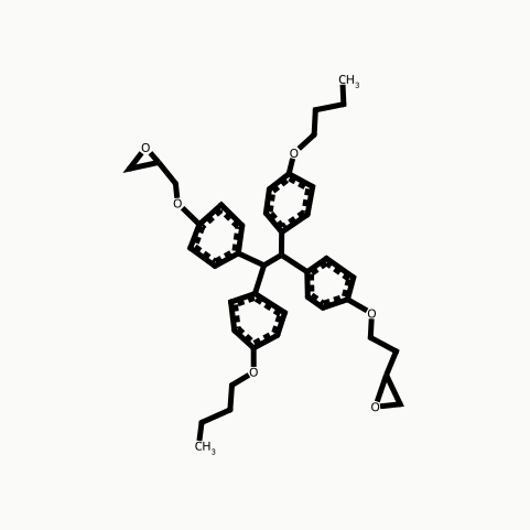 CCCCOc1ccc(C(c2ccc(OCCC3CO3)cc2)C(c2ccc(OCCCC)cc2)c2ccc(OCC3CO3)cc2)cc1